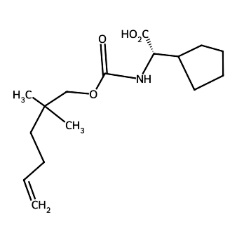 C=CCCC(C)(C)COC(=O)N[C@H](C(=O)O)C1CCCC1